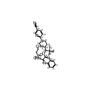 CCCS(=O)(=O)Nc1nc2ccccc2nc1OC(C1CCN(c2ccc(C#N)cn2)CC1)C(F)(F)F